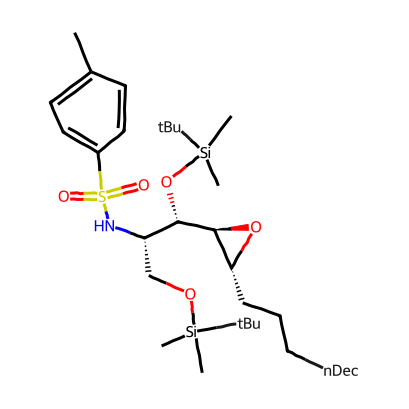 CCCCCCCCCCCCC[C@H]1O[C@@H]1[C@@H](O[Si](C)(C)C(C)(C)C)[C@H](CO[Si](C)(C)C(C)(C)C)NS(=O)(=O)c1ccc(C)cc1